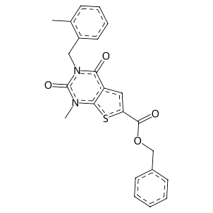 Cc1ccccc1Cn1c(=O)c2cc(C(=O)OCc3ccccc3)sc2n(C)c1=O